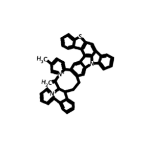 C=C1C2C(CCc3cc4c(cc3-c3ccc(C)c[n+]31)c1c3c(cc5c6ccccc6n4c51)sc1ccccc13)c1ccccc1-c1cccc[n+]12